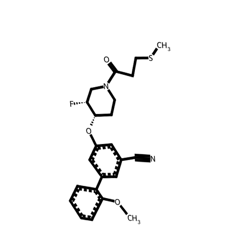 COc1ccccc1-c1cc(C#N)cc(O[C@H]2CCN(C(=O)CCSC)C[C@H]2F)c1